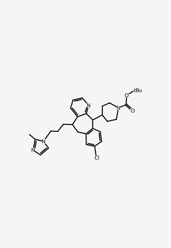 Cc1nccn1CCCC1Cc2cc(Cl)ccc2C(C2CCN(C(=O)OC(C)(C)C)CC2)c2ncccc21